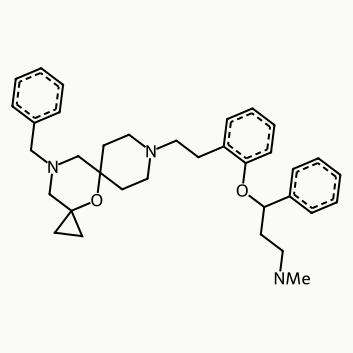 CNCCC(Oc1ccccc1CCN1CCC2(CC1)CN(Cc1ccccc1)CC1(CC1)O2)c1ccccc1